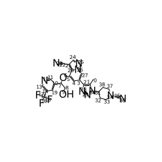 Cc1c(-c2cc(OC(CO)c3cncc(C(F)(F)F)c3)c3c(C#N)cnn3c2)nnn1C1CCN(C#N)CC1